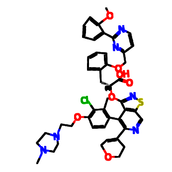 COc1ccccc1-c1nccc(COc2ccccc2C[C@@H](Oc2nsc3cnc(C4=CCOCC4)c(-c4ccc(OCCN5CCN(C)CC5)c(Cl)c4C)c23)C(=O)O)n1